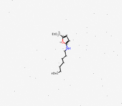 CCCCCCCCCCCCCCCCNc1ccc(C(=O)OCC)o1